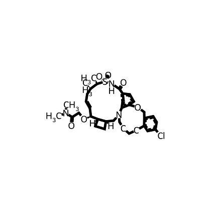 C[C@@H]1[C@@H](C)C/C=C/[C@H](OCC(=O)N(C)C)[C@@H]2CC[C@H]2CN2CCCCc3cc(Cl)ccc3COc3ccc(cc32)C(=O)NS1(=O)=O